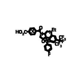 CCN1CC2N(C(=O)C34CCC(C(=O)O)(CC3)CC4)CCC2(S(=O)(=O)c2ccc(F)cc2)c2ccc(C(F)(C(F)(F)F)C(F)(F)F)cc21